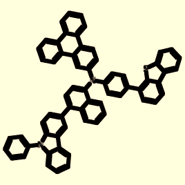 c1ccc(-n2c3ccccc3c3cc(-c4ccc(N(c5ccc(-c6cccc7c6sc6ccccc67)cc5)c5ccc6c7ccccc7c7ccccc7c6c5)c5ccccc45)ccc32)cc1